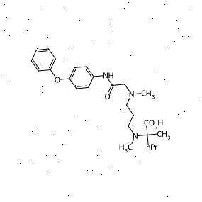 CCCC(C)(C(=O)O)N(C)CCCN(C)CC(=O)Nc1ccc(Oc2ccccc2)cc1